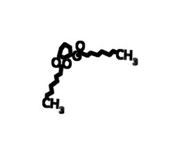 CCCCCCCC(=O)OC1CCCCC1OC(=O)CCCCCCC